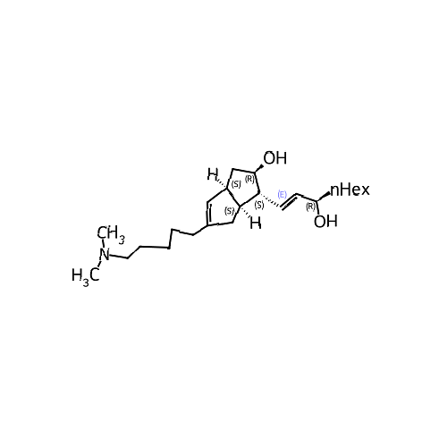 CCCCCC[C@@H](O)/C=C/[C@@H]1[C@H]2CC(CCCCCN(C)C)=C[C@H]2C[C@H]1O